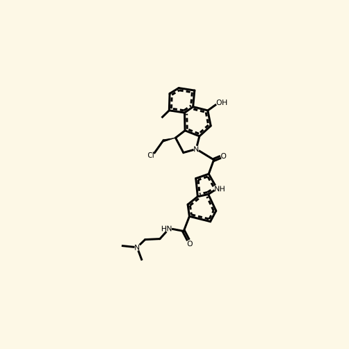 Cc1cccc2c(O)cc3c(c12)[C@H](CCl)CN3C(=O)c1cc2cc(C(=O)NCCN(C)C)ccc2[nH]1